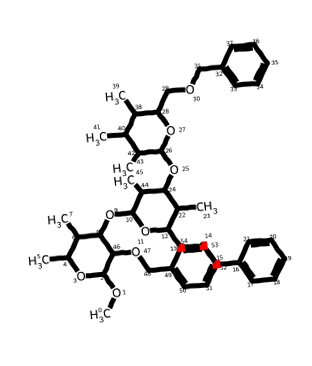 COC1OC(C)C(C)C(OC2OC(COCc3ccccc3)C(C)C(OC3OC(COCc4ccccc4)C(C)C(C)C3C)C2C)C1OCc1ccccc1